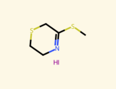 CSC1=NCCSC1.I